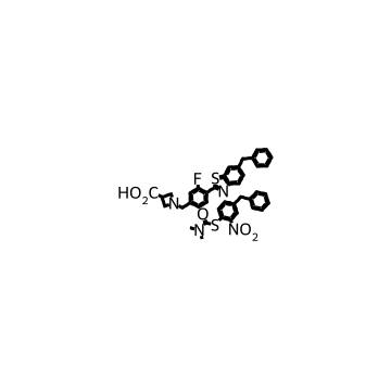 CN(C)C(=O)Sc1ccc(Cc2ccccc2)cc1[N+](=O)[O-].O=C(O)C1CN(Cc2ccc(-c3nc4ccc(Cc5ccccc5)cc4s3)c(F)c2)C1